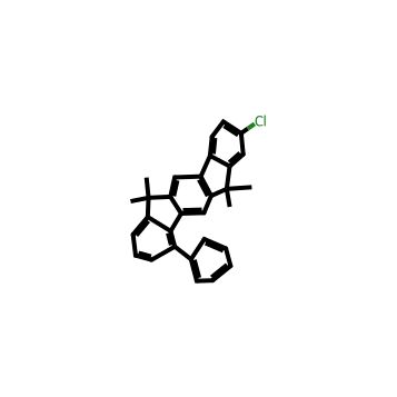 CC1(C)c2cc(Cl)ccc2-c2cc3c(cc21)-c1c(-c2ccccc2)cccc1C3(C)C